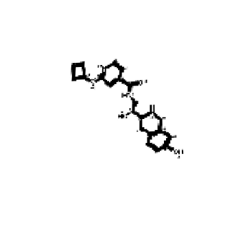 O=C(NC[C@@H](O)[C@@H]1Cc2ccc(O)cc2CN1)c1ccnc(NC2CCC2)c1